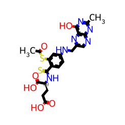 CC(=O)Sc1cc(NCc2cnc3nc(C)nc(O)c3n2)ccc1C(=S)N[C@@H](CCC(=O)O)C(=O)O